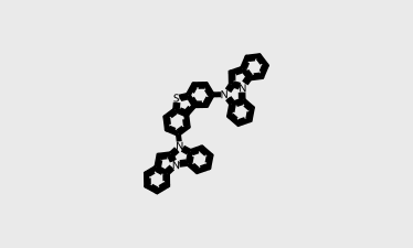 c1ccc2c(c1)cc1n(-c3ccc4sc5ccc(-n6c7ccccc7n7c8ccccc8cc67)cc5c4c3)c3ccccc3n21